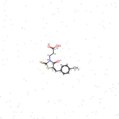 Cc1ccc(/C=C2/SC(=S)N(CCC(=O)O)C2=O)cc1